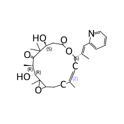 CC(=Cc1ccccn1)[C@@H]1C/C=C(/C)CCC2OC2(C)[C@H](O)[C@@H](C)C(=O)C(C)(C)[C@@H](O)CC(=O)O1